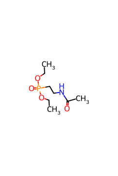 CCOP(=O)(CCNC(C)=O)OCC